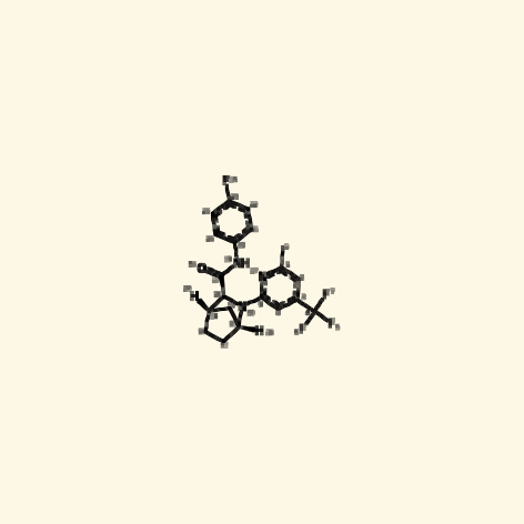 Cc1cc(C(F)(F)F)cc(N2[C@@H]3CC[C@@H](C3)[C@H]2C(=O)Nc2ccc(F)cc2)n1